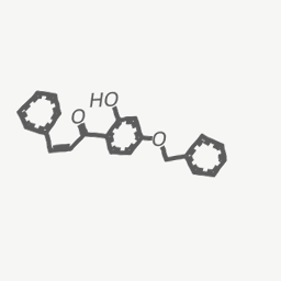 O=C(/C=C\c1ccccc1)c1ccc(OCc2ccccc2)cc1O